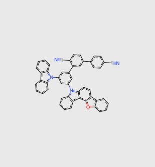 N#Cc1ccc(-c2ccc(C#N)c(-c3cc(-n4c5ccccc5c5ccccc54)cc(-n4c5ccccc5c5c6oc7ccccc7c6ccc54)c3)c2)cc1